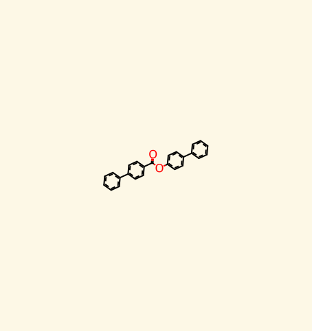 O=C(Oc1ccc(-c2ccccc2)cc1)c1ccc(-c2ccccc2)cc1